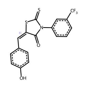 O=C1/C(=C\c2ccc(O)cc2)SC(=S)N1c1cccc(C(F)(F)F)c1